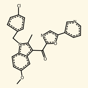 COc1ccc2c(c1)c(C(=O)c1ncc(-c3cccnc3)o1)c(C)n2Cc1ccc(Cl)cc1